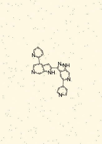 c1ccc(-c2cncc3[nH]c(-c4n[nH]c5cnc(-c6ccncc6)cc45)cc23)nc1